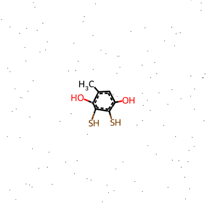 Cc1cc(O)c(S)c(S)c1O